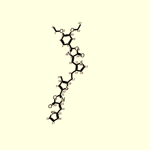 CCOc1ccc(C2=N/C(=C/c3sccc3CCc3sc(C4=N/C(=C/c5cccs5)C(=O)O4)cc3C)C(=O)O2)cc1OCC